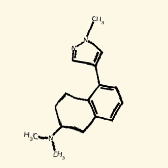 CN(C)C1CCc2c(cccc2-c2cnn(C)c2)C1